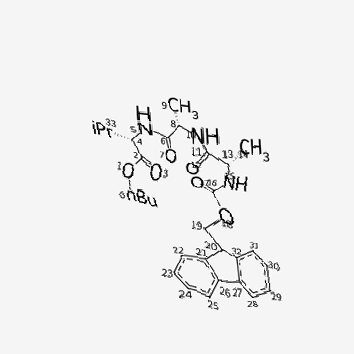 CCCCOC(=O)[C@@H](NC(=O)[C@H](C)NC(=O)[C@H](C)NC(=O)OCC1c2ccccc2-c2ccccc21)C(C)C